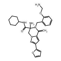 C=C1c2cc(-c3ccco3)nn2CC(N)(C(=O)NC2CCCCC2)N1Cc1ccccc1OCN